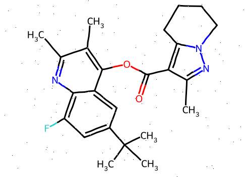 Cc1nc2c(F)cc(C(C)(C)C)cc2c(OC(=O)c2c(C)nn3c2CCCC3)c1C